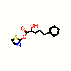 O=C(Oc1nccs1)C(O)CCCc1ccccc1